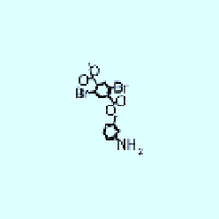 COC(=O)c1cc(Br)c(C(=O)OCc2cccc(N)c2)cc1Br